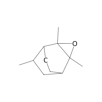 CC1CC2CCC1C1(C)OC21C